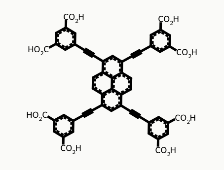 O=C(O)c1cc(C#Cc2cc(C#Cc3cc(C(=O)O)cc(C(=O)O)c3)c3ccc4c(C#Cc5cc(C(=O)O)cc(C(=O)O)c5)cc(C#Cc5cc(C(=O)O)cc(C(=O)O)c5)c5ccc2c3c54)cc(C(=O)O)c1